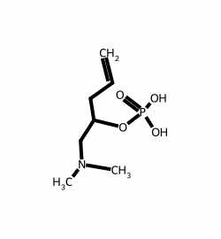 C=CCC(CN(C)C)OP(=O)(O)O